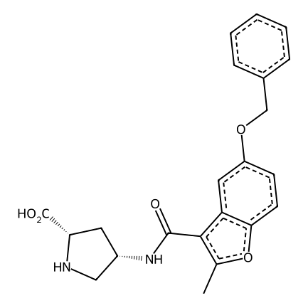 Cc1oc2ccc(OCc3ccccc3)cc2c1C(=O)N[C@@H]1CN[C@H](C(=O)O)C1